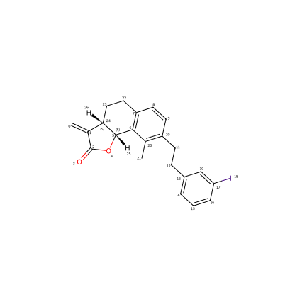 C=C1C(=O)O[C@H]2c3c(ccc(CCc4cccc(I)c4)c3C)CC[C@@H]12